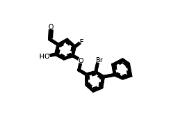 O=Cc1cc(F)c(OCc2cccc(-c3ccccc3)c2Br)cc1O